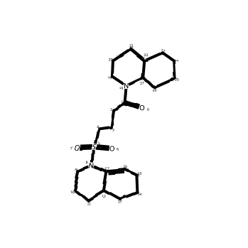 O=C(CCCS(=O)(=O)N1CCCC2CCCC=C21)N1CCCC2CCCCC21